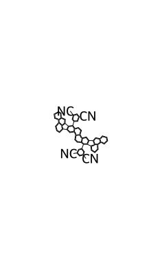 N#Cc1cc(C#N)cc(-c2c3c(cc4c2ccc2c5cc6c(c(-c7cc(C#N)cc(C#N)c7)c5ccc42)-c2cc4ccccc4c4cccc-6c24)-c2cc4ccccc4c4cccc-3c24)c1